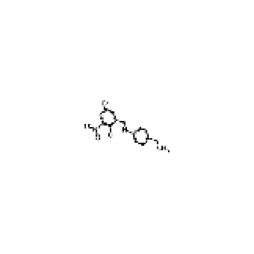 CCc1ccc(/N=C/c2cc(Br)cc([N+](=O)[O-])c2O)cc1